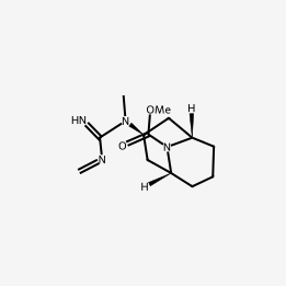 C=NC(=N)N(C)[C@@H]1C[C@H]2CCC[C@@H](C1)N2C(=O)OC